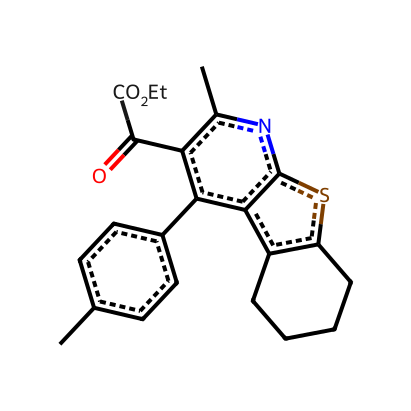 CCOC(=O)C(=O)c1c(C)nc2sc3c(c2c1-c1ccc(C)cc1)CCCC3